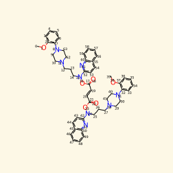 COc1ccccc1N1CCN(CCCN(OC(=O)/C=C/C(=O)ON(CCCN2CCN(c3ccccc3OC)CC2)c2ccc3ccccc3n2)c2ccc3ccccc3n2)CC1